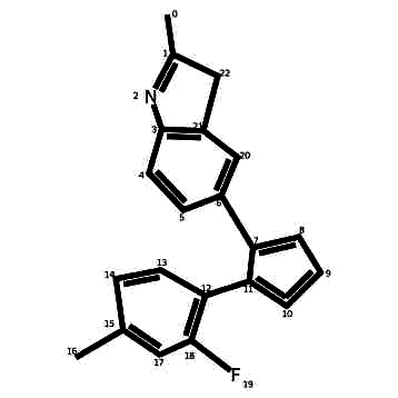 CC1=Nc2ccc(C3=CC=C=C3c3ccc(C)cc3F)cc2C1